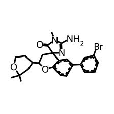 CN1C(=O)C2(CC(C3CCOC(C)(C)C3)Oc3ccc(-c4cccc(Br)c4)cc32)N=C1N